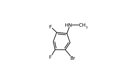 CNc1cc(Br)c(F)cc1F